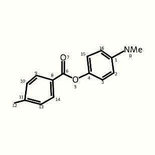 CNc1ccc(OC(=O)c2ccc(C)cc2)cc1